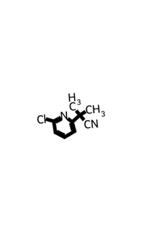 CC(C)(C#N)c1cccc(Cl)n1